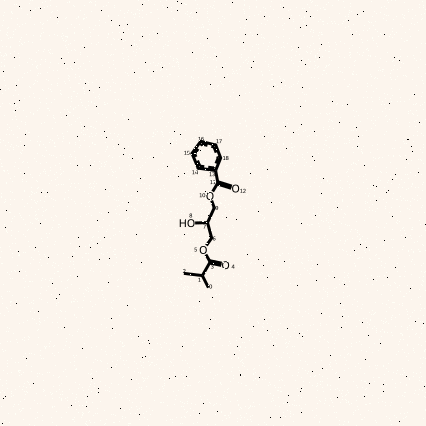 CC(C)C(=O)OCC(O)COC(=O)c1ccccc1